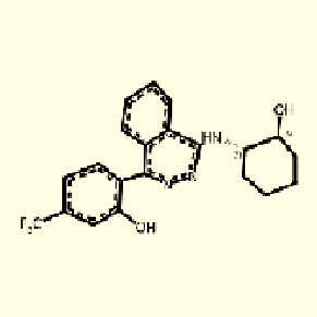 Oc1cc(C(F)(F)F)ccc1-c1nnc(N[C@H]2CCCC[C@@H]2O)c2ccccc12